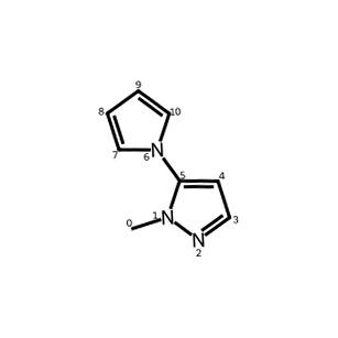 Cn1nccc1-n1cccc1